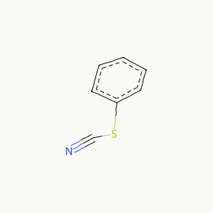 N#CSc1ccccc1